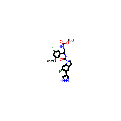 COc1cc(F)cc(C(CNC(=O)OC(C)(C)C)NC(=O)N2CCc3cc(-c4cn[nH]c4)c(F)cc32)c1